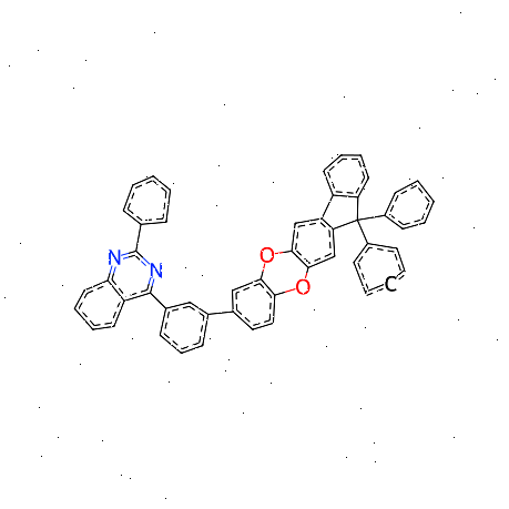 c1ccc(-c2nc(-c3cccc(-c4ccc5c(c4)Oc4cc6c(cc4O5)C(c4ccccc4)(c4ccccc4)c4ccccc4-6)c3)c3ccccc3n2)cc1